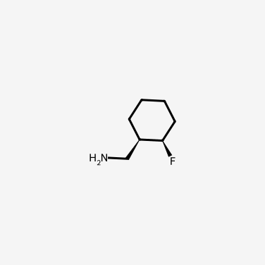 NC[C@H]1CCCC[C@H]1F